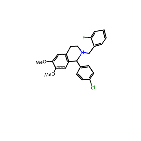 COc1cc2c(cc1OC)C(c1ccc(Cl)cc1)N(Cc1ccccc1F)CC2